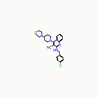 N#Cc1c(NCc2ccc(Cl)cc2)nc2ccccc2c1N1CCC(N2CCOCC2)CC1